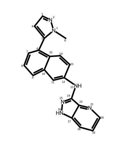 Cn1nccc1-c1cccc2cc(Nc3n[nH]c4cccnc34)ccc12